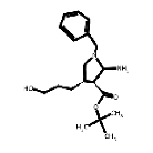 CC(C)(C)OC(=O)[C@@H]1C(N)N(Cc2ccccc2)C[C@@H]1CCCO